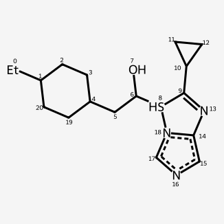 CCC1CCC(CC(O)[SH]2C(C3CC3)=Nc3cncn32)CC1